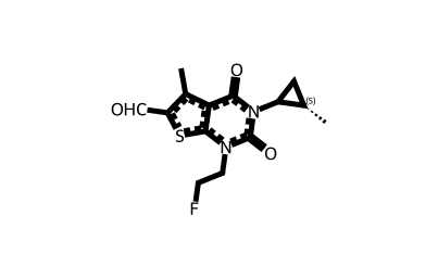 Cc1c(C=O)sc2c1c(=O)n(C1C[C@@H]1C)c(=O)n2CCF